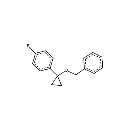 Fc1c[c]c(C2(OCc3ccccc3)CC2)cc1